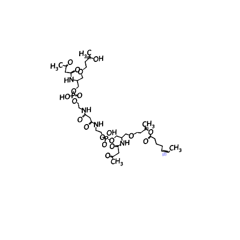 C/C=C\CCCC(=O)O[C@H](C)CCOCC(COP(=O)(O)OCCNC(=O)CC(=O)NCCOP(=O)(O)OCC(COCC[C@@H](C)O)NC(=O)CC(C)=O)NC(=O)CC(C)=O